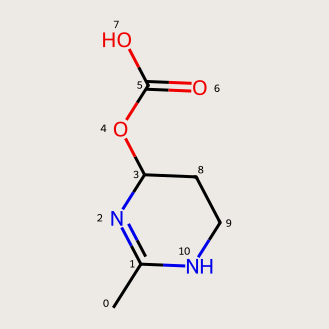 CC1=NC(OC(=O)O)CCN1